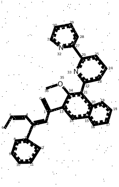 C=C(/C=C(\C=C/C)c1ccccc1)c1cc2ccccc2c(-c2cccc(-c3ccccn3)n2)c1OC